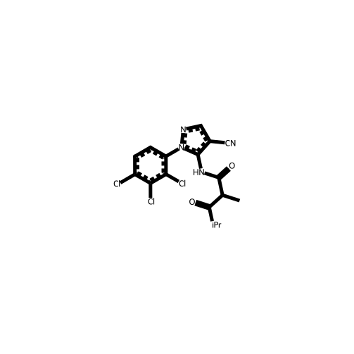 CC(C)C(=O)C(C)C(=O)Nc1c(C#N)cnn1-c1ccc(Cl)c(Cl)c1Cl